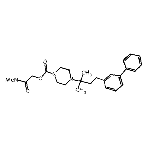 CNC(=O)COC(=O)N1CCN(C(C)(C)CCc2cccc(-c3ccccc3)c2)CC1